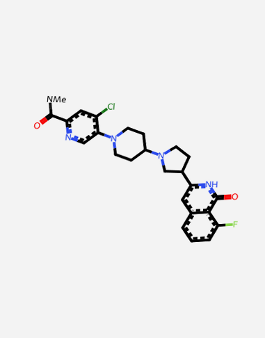 CNC(=O)c1cc(Cl)c(N2CCC(N3CCC(c4cc5cccc(F)c5c(=O)[nH]4)C3)CC2)cn1